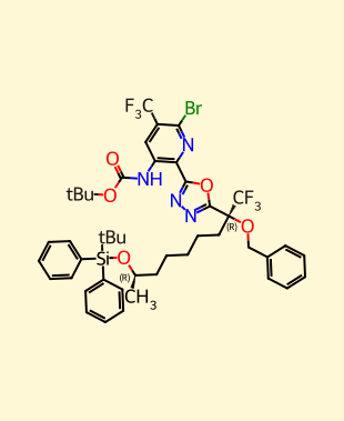 C[C@H](CCCCC[C@@](OCc1ccccc1)(c1nnc(-c2nc(Br)c(C(F)(F)F)cc2NC(=O)OC(C)(C)C)o1)C(F)(F)F)O[Si](c1ccccc1)(c1ccccc1)C(C)(C)C